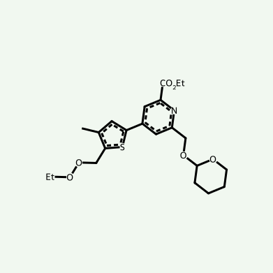 CCOOCc1sc(-c2cc(COC3CCCCO3)nc(C(=O)OCC)c2)cc1C